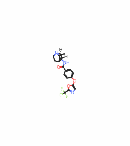 C[C@H]1[C@H](NC(=O)c2ccc(Oc3cnc(C(F)(F)F)o3)cc2)C2CCN1CC2